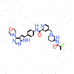 C=C(F)C(=O)N[C@@H]1CCCN(Cc2ccnc(C(=O)Nc3ccc(-c4cc5c(N6CCOCC6)ncnc5[nH]4)cc3)c2)C1